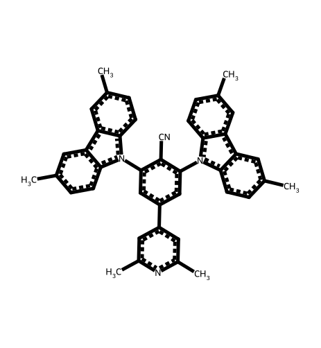 Cc1ccc2c(c1)c1cc(C)ccc1n2-c1cc(-c2cc(C)nc(C)c2)cc(-n2c3ccc(C)cc3c3cc(C)ccc32)c1C#N